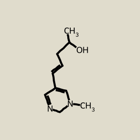 CC(O)CC=CC1=CN(C)CN=C1